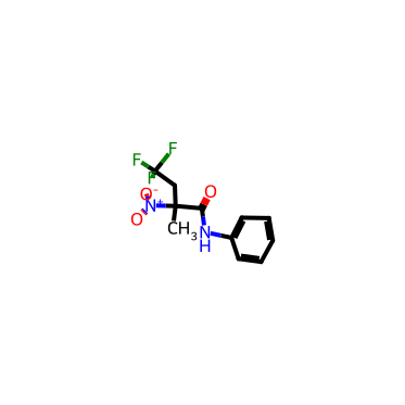 CC(CC(F)(F)F)(C(=O)Nc1ccccc1)[N+](=O)[O-]